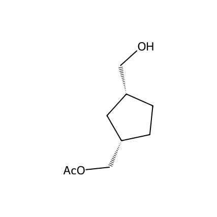 CC(=O)OC[C@H]1CC[C@@H](CO)C1